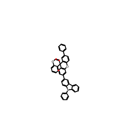 c1ccc(-c2ccc3c(c2)C2(c4ccccc4Oc4ccccc42)c2ccc(-c4ccc5c(c4)c4ccccc4n5-c4ccccc4)cc2O3)cc1